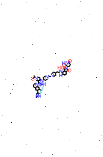 CC(=O)N1CCC(NC2CCN(CCN3CCC(CCNc4cccc5c4C(O)N(C4CCC(=O)NC4=O)C5=O)CC3)CC2)=C(C(=N)N2CCCc3cc(-c4cnn(C)c4)c(C(F)F)cc32)C1